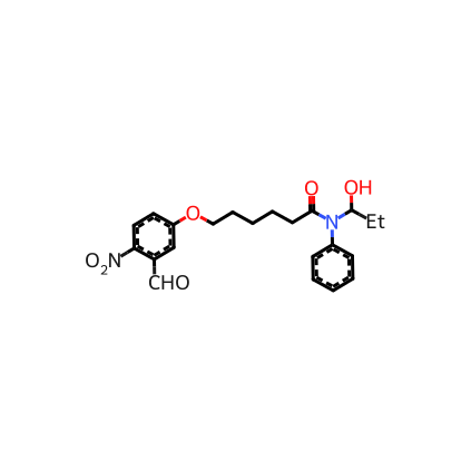 CCC(O)N(C(=O)CCCCCOc1ccc([N+](=O)[O-])c(C=O)c1)c1ccccc1